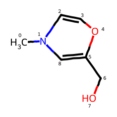 CN1C=COC(CO)=C1